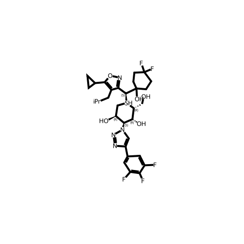 CC(C)Cc1c([C@H]([SH]2C[C@H](O)[C@H](n3cc(-c4cc(F)c(F)c(F)c4)nn3)[C@@H](O)[C@H]2CO)C2(O)CCC(F)(F)CC2)noc1C1CC1